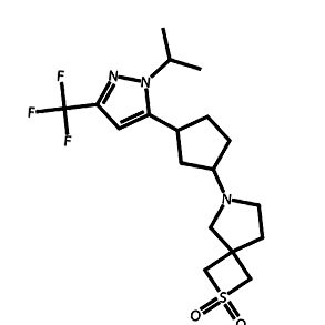 CC(C)n1nc(C(F)(F)F)cc1C1CCC(N2CCC3(C2)CS(=O)(=O)C3)C1